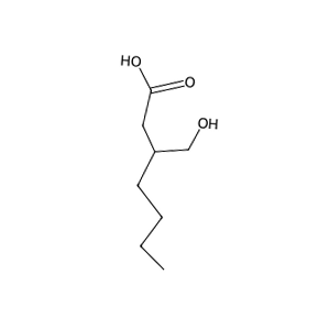 CCCCC(CO)CC(=O)O